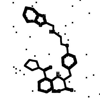 COC(=O)C(Cc1ccc(OCCNCc2nc3ccccc3o2)cc1)Nc1ccccc1C(=O)C1CCCC1